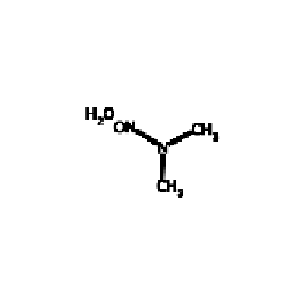 CN(C)N=O.O